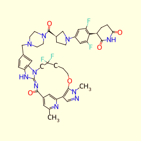 Cc1cc2cc(n1)-c1cnn(C)c1OCCCC(F)(F)CN1/C(=N/C2=O)Nc2ccc(CN3CCN(C(=O)[C@@H]4CCN(c5cc(F)c([C@H]6CCC(=O)NC6=O)c(F)c5)C4)CC3)cc21